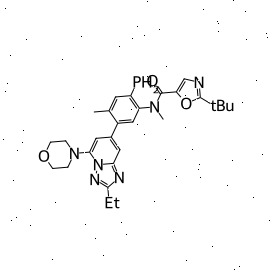 CCc1nc2cc(-c3cc(N(C)C(=O)c4cnc(C(C)(C)C)o4)c(P)cc3C)cc(N3CCOCC3)n2n1